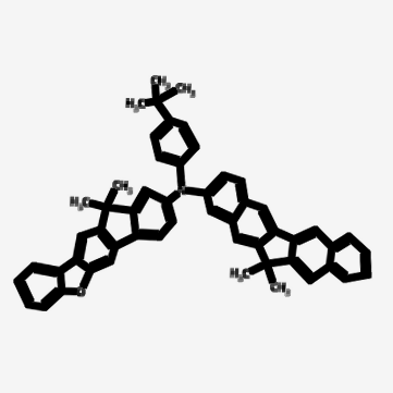 CC(C)(C)c1ccc(N(c2ccc3c(c2)C(C)(C)c2cc4c(cc2-3)oc2ccccc24)c2ccc3cc4c(cc3c2)C(C)(C)c2cc3ccccc3cc2-4)cc1